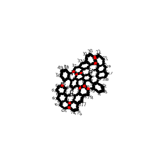 Fc1cccc(F)c1-c1cc(B(c2c3ccccc3cc3ccccc23)c2c3ccccc3cc3ccccc23)c2ccc3c(-c4c(F)cccc4F)cc(B(c4c5ccccc5cc5ccccc45)c4c5ccccc5cc5ccccc45)c4ccc1c2c43